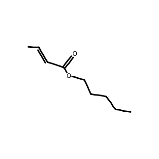 CC=CC(=O)OCC[CH]CC